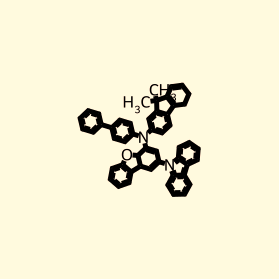 CC1(C)C2=C(CCC=C2)c2ccc(N(C3=CC(n4c5ccccc5c5ccccc54)=CC4c5ccccc5OC34)c3ccc(-c4ccccc4)cc3)cc21